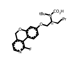 CC(C)C[C@@H](COc1ccc2c(c1)OCc1ccnc(F)c1-2)N(C(=O)O)C(C)(C)C